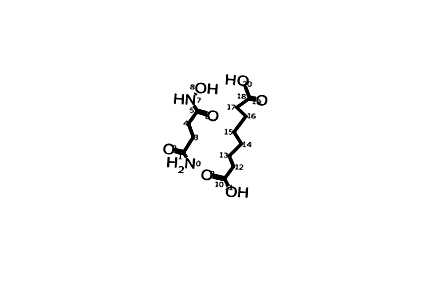 NC(=O)CCC(=O)NO.O=C(O)CCCCCCC(=O)O